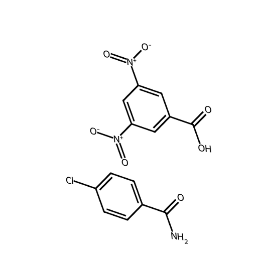 NC(=O)c1ccc(Cl)cc1.O=C(O)c1cc([N+](=O)[O-])cc([N+](=O)[O-])c1